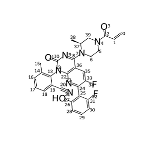 C=CC(=O)N1CCN(c2nc(=O)n(-c3c(C)cccc3C#N)c3nc(-c4c(O)cccc4F)c(F)cc23)[C@@H](C)C1